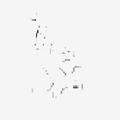 CC1=C(C#N)C(c2cc3c(NC(=O)C45C6C7C4C4C5C6C74C(=O)O)n[nH]c3c(C)c2F)C(C#N)=C(C)N1C